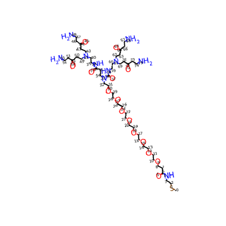 CSCCNC(=O)CCOCCOCCOCCOCCOCCOCCOCCOCCN(CCC(=O)NCCN(CCC(=O)CCN)CCC(=O)CCN)C(=O)NCCN(CCC(=O)CCN)CCC(=O)CCN